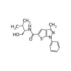 Cc1nn(-c2ccccc2)c2sc(C(=O)N[C@@H](CO)C(C)C)cc12